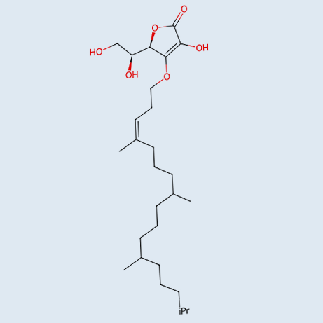 CC(=CCCOC1=C(O)C(=O)O[C@@H]1[C@@H](O)CO)CCCC(C)CCCC(C)CCCC(C)C